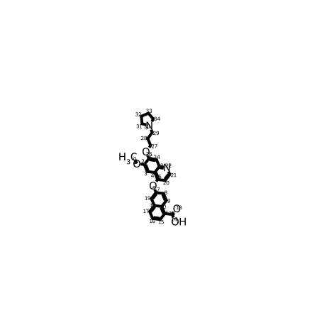 COc1cc2c(Oc3ccc4c(C(=O)O)cccc4c3)ccnc2cc1OCCCN1CCCC1